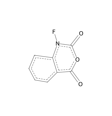 O=c1oc(=O)n(F)c2ccccc12